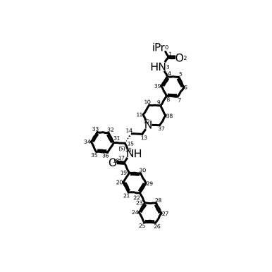 CC(C)C(=O)Nc1cccc(C2CCN(CC[C@H](NC(=O)c3ccc(-c4ccccc4)cc3)c3ccccc3)CC2)c1